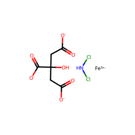 ClNCl.O=C([O-])CC(O)(CC(=O)[O-])C(=O)[O-].[Fe+3]